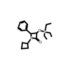 CC[Si](CC)(CC)OC1C(=O)N(C2CCC2)C1c1ccccc1